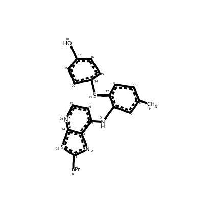 CCCc1nc2c(Nc3cc(C)ccc3Sc3ccc(O)cc3)ccnc2s1